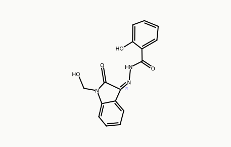 O=C(N/N=C1\C(=O)N(CO)c2ccccc21)c1ccccc1O